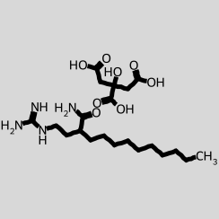 CCCCCCCCCCC(CCNC(=N)N)C(N)=O.O=C(O)CC(O)(CC(=O)O)C(=O)O